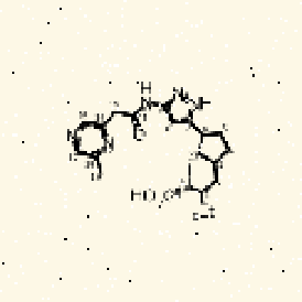 CCC(CC1CCC(c2cc(NC(=O)Cc3cncc(C)n3)n[nH]2)C1)NC(=O)O